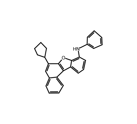 c1ccc(Nc2cccc3c2oc2c(C4CCCC4)cc4ccccc4c23)cc1